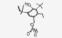 CCc1c(CO[PH](=O)O)cc(C(C)(C)C)c(O)c1C(C)(C)C